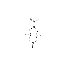 C=C(C)N1C[C@]2(C)CN(C)C[C@]2(C)C1